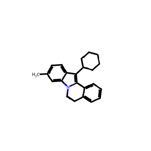 Cc1ccc2c(C3CCCCC3)c3n(c2c1)CCc1ccccc1-3